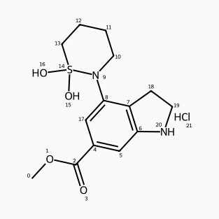 COC(=O)c1cc2c(c(N3CCCCS3(O)O)c1)CCN2.Cl